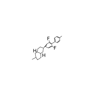 Cc1ccc(-c2c(F)cc([C@@H]3CC[C@@H]4CC(C)CC[C@@H]4C3)cc2F)cc1